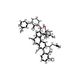 Cc1nc2c(F)c(-c3cccc(Cl)c3Cl)c(CCC#N)cc2c2c1cc([C@@H](C)N1CCCN(c3ccnc(F)c3)C1=O)n2[C@H]1[C@H]2CN[C@@H]1C2